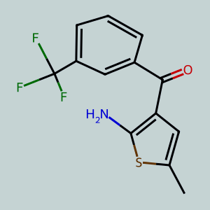 Cc1cc(C(=O)c2cccc(C(F)(F)F)c2)c(N)s1